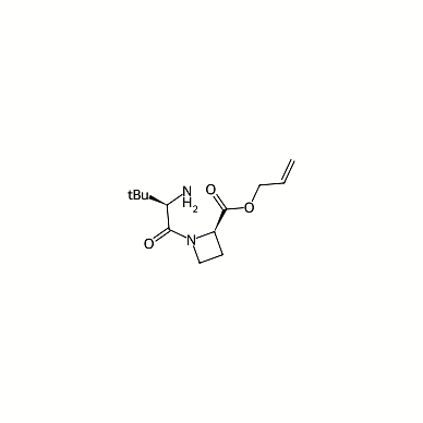 C=CCOC(=O)[C@H]1CCN1C(=O)[C@H](N)C(C)(C)C